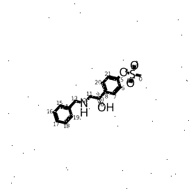 CS(=O)(=O)Oc1ccc([C@H](O)CNCc2ccccc2)cc1